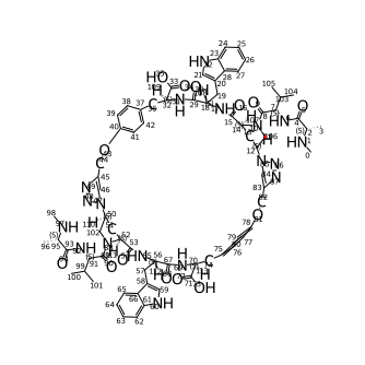 CN[C@@H](C)C(=O)N[C@H](C(=O)N1C[C@@H]2C[C@H]1C(=O)N[C@@H](Cc1c[nH]c3ccccc13)C(=O)N[C@H](C(=O)O)Cc1ccc(cc1)OCc1cn(nn1)[C@H]1C[C@@H](C(=O)N[C@@H](Cc3c[nH]c4ccccc34)C(=O)N[C@H](C(=O)O)Cc3ccc(cc3)OCc3cn2nn3)N(C(=O)[C@@H](NC(=O)[C@H](C)NC)C(C)C)C1)C(C)C